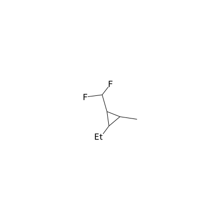 CCC1C(C)C1C(F)F